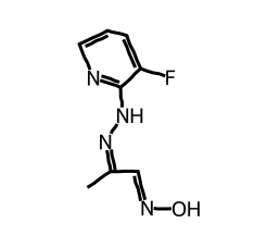 CC(/C=N/O)=N/Nc1ncccc1F